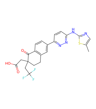 Cc1cnc(Nc2ccc(-c3ccc4c(c3)CCC(CC(=O)O)(CC(F)(F)F)C4=O)nn2)s1